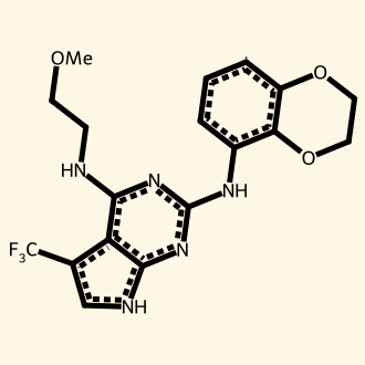 COCCNc1nc(Nc2cc[c]c3c2OCCO3)nc2[nH]cc(C(F)(F)F)c12